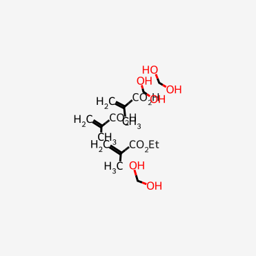 C=C(C)C(=O)O.C=C(C)C(=O)O.C=C(C)C(=O)OCC.OCO.OCO.OCO